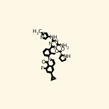 Cn1cc(Nc2nc(N)nc(-c3cccc(-n4ccc5cc(C6CC6)cc(F)c5c4=O)c3COC(=O)[C@@H]3CCCN3)n2)cn1